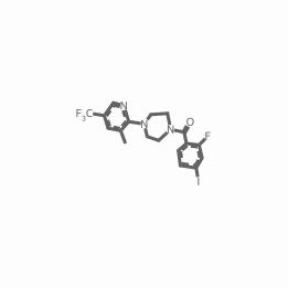 Cc1cc(C(F)(F)F)cnc1N1CCN(C(=O)c2ccc(I)cc2F)CC1